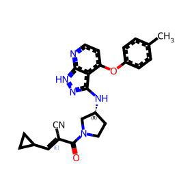 Cc1ccc(Oc2ccnc3[nH]nc(N[C@@H]4CCN(C(=O)/C(C#N)=C/C5CC5)C4)c23)cc1